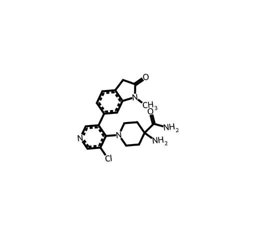 CN1C(=O)Cc2ccc(-c3cncc(Cl)c3N3CCC(N)(C(N)=O)CC3)cc21